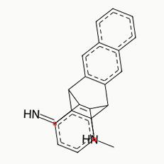 CNC1=C(C=N)C2c3ccccc3C1c1cc3ccccc3cc12